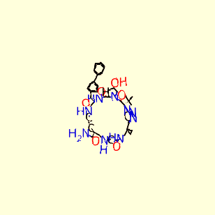 CC(C)(C)[C@H]1C(=O)N2C[C@H](O)C[C@H]2C(=O)N[C@H](Cc2ccc(-c3ccccc3)cc2)C(=O)NCCC[C@H](CN)C(=O)NCC(=O)NCC2(CC2)c2cn1nn2